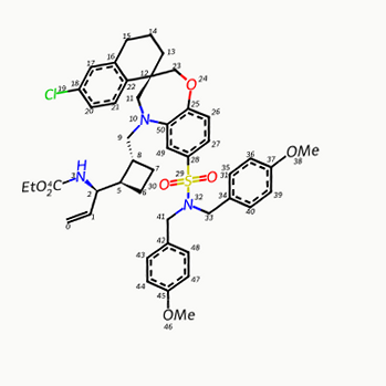 C=C[C@@H](NC(=O)OCC)[C@@H]1CC[C@H]1CN1C[C@@]2(CCCc3cc(Cl)ccc32)COc2ccc(S(=O)(=O)N(Cc3ccc(OC)cc3)Cc3ccc(OC)cc3)cc21